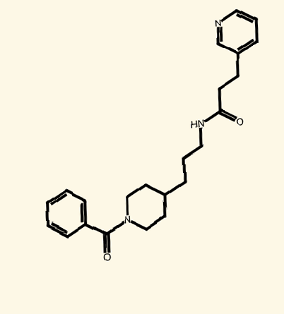 O=C(CCc1cccnc1)NCCCC1CCN(C(=O)c2ccccc2)CC1